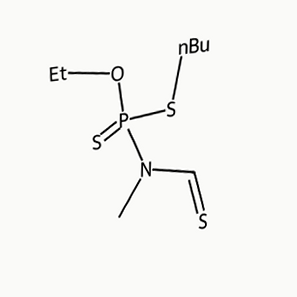 CCCCSP(=S)(OCC)N(C)C=S